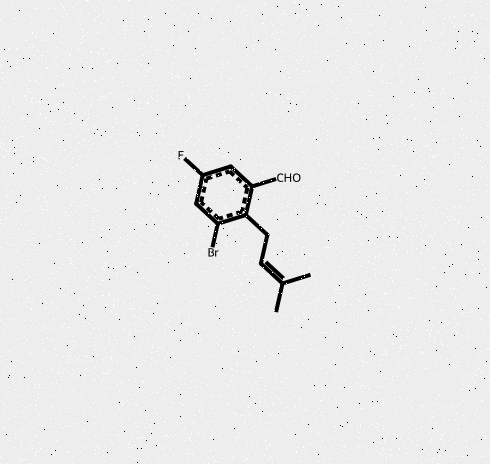 CC(C)=CCc1c(Br)cc(F)cc1C=O